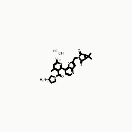 Cc1cc(C(F)(F)F)nc(-c2ccnc3cc(CN4C(=O)C5C(C4=O)C5(C)C)sc23)c1C(=O)N1CC[C@H](N)C1.Cl.Cl